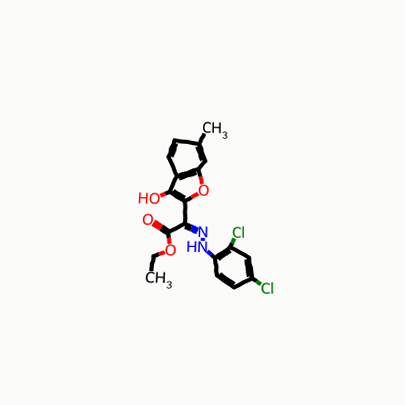 CCOC(=O)/C(=N\Nc1ccc(Cl)cc1Cl)c1oc2cc(C)ccc2c1O